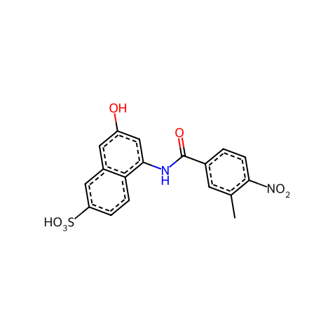 Cc1cc(C(=O)Nc2cc(O)cc3cc(S(=O)(=O)O)ccc23)ccc1[N+](=O)[O-]